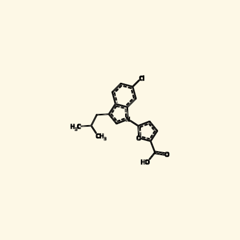 CC(C)Cc1cn(-c2ccc(C(=O)O)o2)c2cc(Cl)ccc12